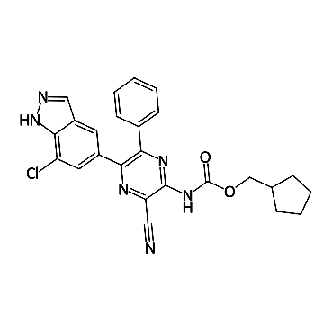 N#Cc1nc(-c2cc(Cl)c3[nH]ncc3c2)c(-c2ccccc2)nc1NC(=O)OCC1CCCC1